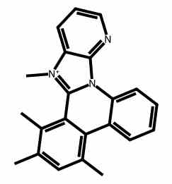 Cc1cc(C)c2c3ccccc3n3c4ncccc4[n+](C)c3c2c1C